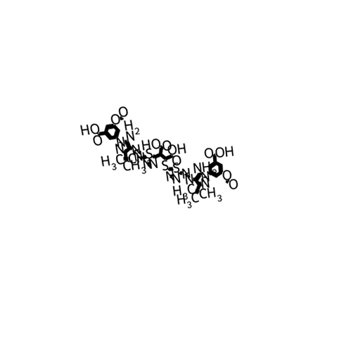 CC(C)(C)c1nn(-c2cc(OC=O)cc(C(=O)O)c2)c(N)c1N=Nc1nnc(SC(C(=O)O)C(C(=O)O)c2nnc(N=Nc3c(C(C)(C)C)nn(-c4cc(OC=O)cc(C(=O)O)c4)c3N)s2)s1